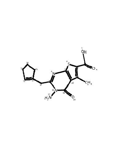 Cc1c(C(=O)O)sc2nc(CC3=CCCC3)n(N)c(=O)c12